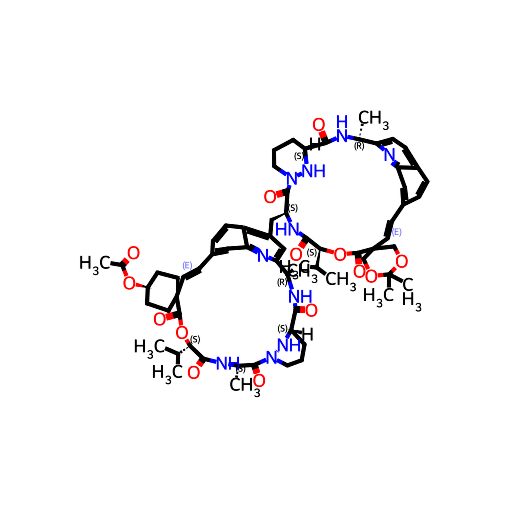 CC(=O)O[C@H]1CC[C@]2(/C=C/c3ccc4c(C[C@@H]5NC(=O)[C@H](C(C)C)OC(=O)C6(/C=C/c7ccc8ccc(nc8c7)[C@@H](C)NC(=O)[C@@H]7CCCN(N7)C5=O)COC(C)(C)OC6)cc(nc4c3)[C@@H](C)NC(=O)[C@@H]3CCCN(N3)C(=O)[C@H](C)NC(=O)[C@H](C(C)C)OC2=O)CC1